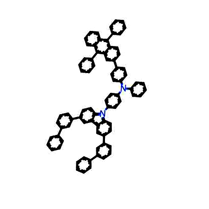 c1ccc(-c2cccc(-c3ccc4c(c3)c3cc(-c5cccc(-c6ccccc6)c5)ccc3n4-c3ccc(N(c4ccccc4)c4ccc(-c5ccc6c(-c7ccccc7)c7ccccc7c(-c7ccccc7)c6c5)cc4)cc3)c2)cc1